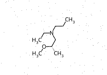 CCCN(CC)C[C@H](C)OC